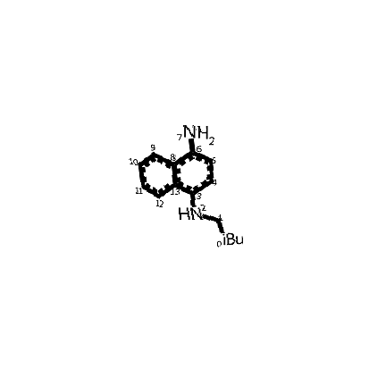 CCC(C)CNc1ccc(N)c2ccccc12